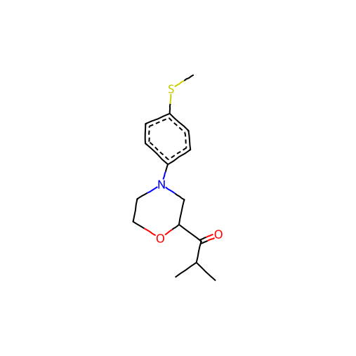 CSc1ccc(N2CCOC(C(=O)C(C)C)C2)cc1